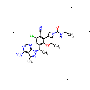 CCNC(=O)N1CC(c2c(C#N)c(Cl)cc(C(C)n3nc(C)c4c(N)ncnc43)c2OCC)C1